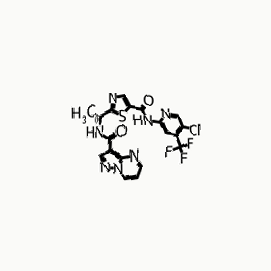 C[C@@H](NC(=O)c1cnn2cccnc12)c1ncc(C(=O)Nc2cc(C(F)(F)F)c(Cl)cn2)s1